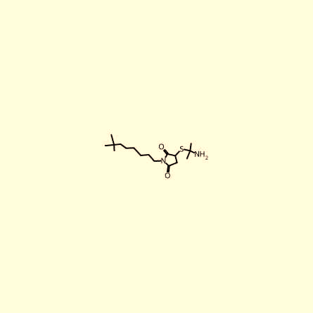 CC(C)(C)CCCCCCN1C(=O)CC(SC(C)(C)N)C1=O